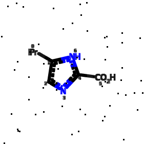 CC(C)c1cnc(C(=O)O)[nH]1